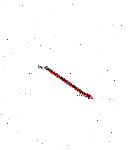 CC[C@H](C)[C@H](NC(=O)CCOCCOCCOCCOCCOCCOCCOCCOCCOCCOCCOCCOCCOCCOCCOCCOCCOCCOCCOCCOCCOCCOCCOCCOC)C(=O)NC